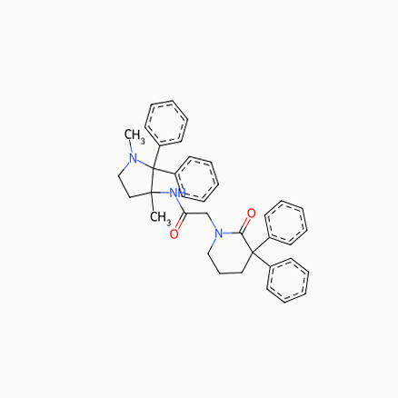 CN1CCC(C)(NC(=O)CN2CCCC(c3ccccc3)(c3ccccc3)C2=O)C1(c1ccccc1)c1ccccc1